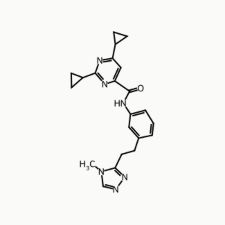 Cn1cnnc1CCc1cccc(NC(=O)c2cc(C3CC3)nc(C3CC3)n2)c1